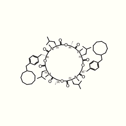 CC(C)C[C@H]1C(=O)O[C@H](Cc2ccc(CC3CCCCCCCC3)cc2)C(=O)N(C)[C@@H](CC(C)C)C(=O)O[C@H](C)C(=O)N(C)[C@@H](CC(C)C)C(=O)O[C@H](Cc2ccc(CC3CCCCCCCC3)cc2)C(=O)N(C)[C@@H](CC(C)C)C(=O)O[C@H](C)C(=O)N1C